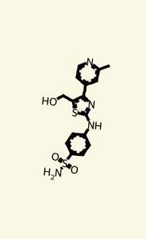 Cc1cc(-c2nc(Nc3ccc(S(N)(=O)=O)cc3)sc2CO)ccn1